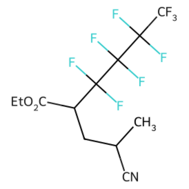 CCOC(=O)C(CC(C)C#N)C(F)(F)C(F)(F)C(F)(F)C(F)(F)F